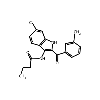 CCCC(=O)Nc1c(C(=O)c2cccc(C)c2)[nH]c2cc(Cl)ccc12